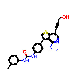 Cc1cccc(NC(=O)Nc2ccc(-c3csc4c(C#CCO)cnc(N)c34)cc2)c1